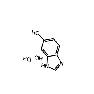 Cl.Cl.Oc1ccc2nc[nH]c2c1